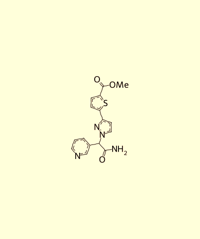 COC(=O)c1ccc(-c2ccn(C(C(N)=O)c3cccnc3)n2)s1